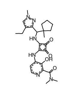 CCc1cn(C)nc1C(Nc1c(Nc2ccnc(C(=O)N(C)C)c2O)c(=O)c1=O)C1(C)CCCC1